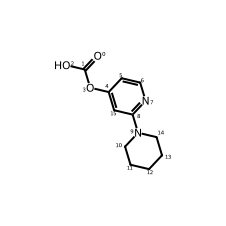 O=C(O)Oc1ccnc(N2CCCCC2)c1